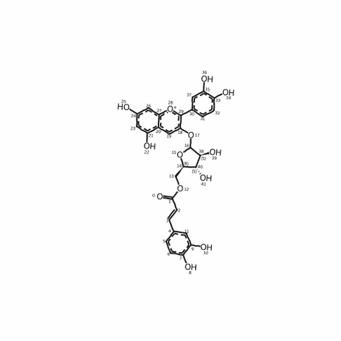 O=C(C=Cc1ccc(O)c(O)c1)OC[C@H]1OC(Oc2cc3c(O)cc(O)cc3[o+]c2-c2ccc(O)c(O)c2)[C@@H](O)[C@@H]1O